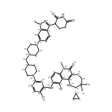 Cn1nc(C2CCC(=O)NC2=O)c2ccc(N3CCN(CC4CCN(c5ncc(Cl)c(Nc6ccc7c(c6F)c6c(c(=O)n7C)OCC(F)(F)[C@H](C7CC7)N6)n5)CC4)CC3)cc21